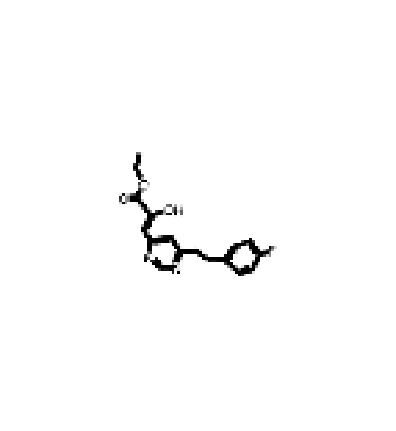 CCOC(=O)C(O)=Cc1cc(CCc2ccc(F)cc2)ncn1